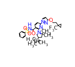 CC1(C)C[CH]([Ge]([CH3])([CH3])[CH3])CN1c1nc(-n2ccc(OCCC3(C(F)(F)F)CC3)n2)ccc1C(=O)NS(=O)(=O)c1ccccc1